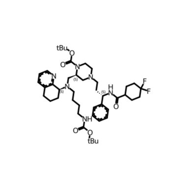 CC(C)(C)OC(=O)NCCCCN(C[C@@H]1CN(CC[C@H](NC(=O)C2CCC(F)(F)CC2)c2ccccc2)CCN1C(=O)OC(C)(C)C)[C@H]1CCCc2cccnc21